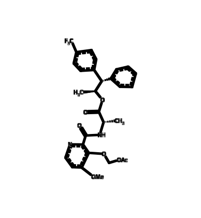 COc1ccnc(C(=O)N[C@@H](C)C(=O)O[C@@H](C)[C@@H](c2ccccc2)c2ccc(C(F)(F)F)cc2)c1OCOC(C)=O